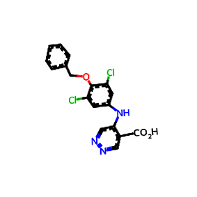 O=C(O)c1cnncc1Nc1cc(Cl)c(OCc2ccccc2)c(Cl)c1